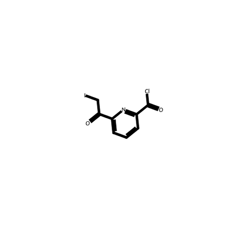 O=C(Cl)c1cccc(C(=O)CI)n1